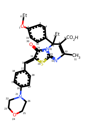 CCOc1ccc(C2(CC)C(C(=O)O)=C(C)N=c3s/c(=C\c4ccc(N5CCOCC5)cc4)c(=O)n32)cc1